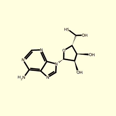 Nc1ncnc2c1ncn2[C@@H]1O[C@H](C(O)S)[C@@H](O)[C@H]1O